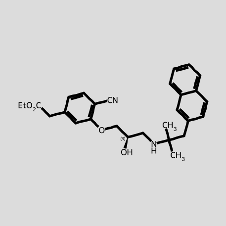 CCOC(=O)Cc1ccc(C#N)c(OC[C@H](O)CNC(C)(C)Cc2ccc3ccccc3c2)c1